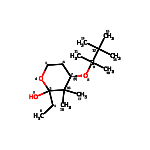 CCC1(O)OCC[C@H](O[Si](C)(C)C(C)(C)C)C1(C)C